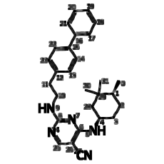 C[C@H]1CC[C@@H](Nc2nc(NCCc3ccc(-c4ccccc4)cc3)ncc2C#N)CC1(C)C